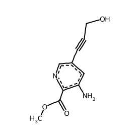 COC(=O)c1ncc(C#CCO)cc1N